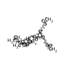 C=CC(=O)OCCCCOc1cc(OCCCCOC(=O)C=C)cc(C(=O)O[C@H]2CC[C@@]3(C)C(=CC[C@H]4[C@@H]5CC[C@H]([C@H](C)CCCC(C)C)[C@@]5(C)CC[C@@H]43)C2)c1